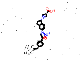 CC(C)Cc1ccc(C2=CN(c3ccc4c(c3)CCC4N3CC(C(=O)O)C3)NO2)cc1